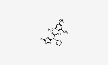 CCn1nnc(C(C(=O)Nc2c(C)cc(C)cc2C)N2CCCC2)n1